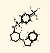 O=S(=O)(NC1CCCC(N2CCc3ccccc32)C1)c1ccc(C(F)(F)F)cc1